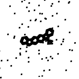 CCn1c2ccccc2c2cc3cc4c(cc3cc21)Cc1ccccc1-4